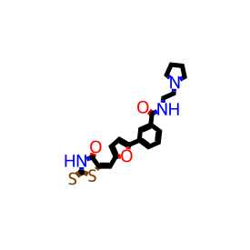 O=C1NC(=S)SC1=Cc1ccc(-c2cccc(C(=O)NCCN3CCCC3)c2)o1